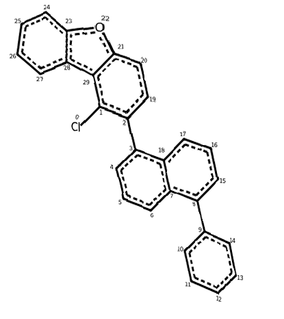 Clc1c(-c2cccc3c(-c4ccccc4)cccc23)ccc2oc3ccccc3c12